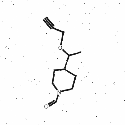 C#CCOC(C)C1CCN(C=O)CC1